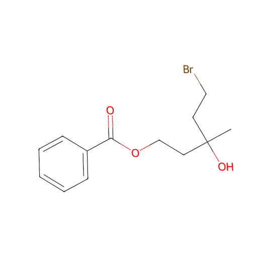 CC(O)(CCBr)CCOC(=O)c1ccccc1